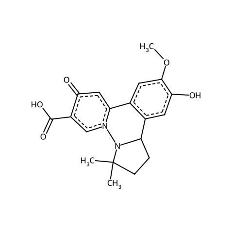 COc1cc2c(cc1O)C1CCC(C)(C)N1n1cc(C(=O)O)c(=O)cc1-2